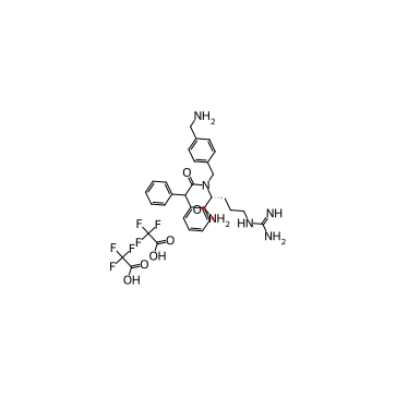 N=C(N)NCCC[C@H](C(N)=O)N(Cc1ccc(CN)cc1)C(=O)C(c1ccccc1)c1ccccc1.O=C(O)C(F)(F)F.O=C(O)C(F)(F)F